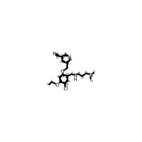 CCOc1cc(OCc2cncc(C#N)c2)c(CNCCCN(C)C)cc1Cl